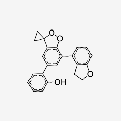 Oc1ccccc1-c1cc(-c2cccc3c2CCO3)c2c(c1)C1(CC1)OO2